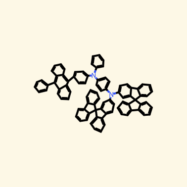 c1ccc(-c2c3ccccc3c(-c3ccc(N(c4ccccc4)c4ccc(N(c5ccc6c(c5)C5(c7ccccc7-c7ccccc75)c5ccccc5-6)c5ccc6c(c5)C5(c7ccccc7-c7ccccc75)c5ccccc5-6)cc4)cc3)c3ccccc23)cc1